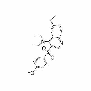 CCc1ccc2ncc(S(=O)(=O)c3ccc(OC)cc3)c(N(CC)CC)c2c1